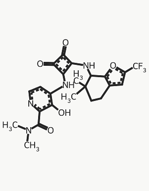 CN(C)C(=O)c1nccc(Nc2c(NC3c4oc(C(F)(F)F)cc4CCC3(C)C)c(=O)c2=O)c1O